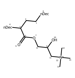 CCCCCCCCCCCCC(CCCCCCCCCC)C(=O)OCC(O)C[N+](C)(C)C